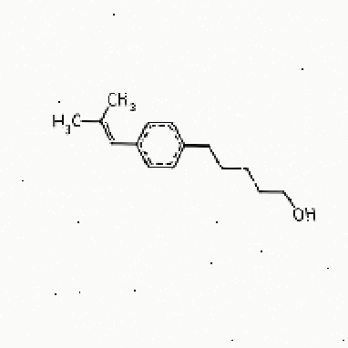 CC(C)=Cc1ccc(CCCCCO)cc1